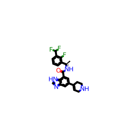 C[C@@H](NC(=O)c1cc(C2=CCNCC2)cc2nc[nH]c12)c1cccc(C(F)F)c1F